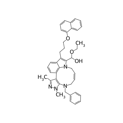 CCOC(O)c1c(CCCOc2cccc3ccccc23)c2cccc3c2n1C/C=C\CN(Cc1ccccc1)c1c-3c(C)nn1C